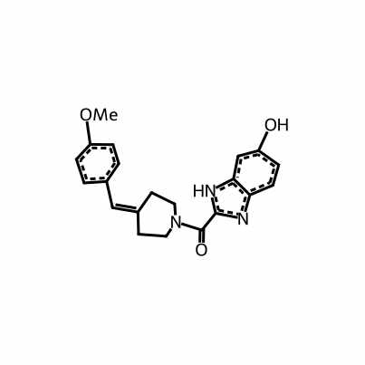 COc1ccc(C=C2CCN(C(=O)c3nc4ccc(O)cc4[nH]3)CC2)cc1